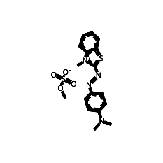 CN(C)c1ccc(N=Nc2sc3ccccc3[n+]2C)cc1.COS(=O)(=O)[O-]